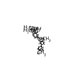 COc1ccc(-c2ccc(C)nc2)cc1CNC1CCC(CN(C(=O)O)C(C)(C)C)CC1